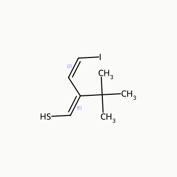 CC(C)(C)C(/C=C\I)=C/S